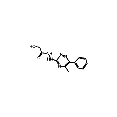 Cc1nc(NNC(=O)CO)nnc1-c1ccccc1